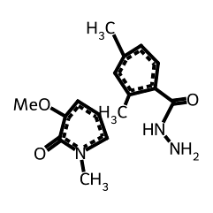 COc1cccn(C)c1=O.Cc1ccc(C(=O)NN)c(C)c1